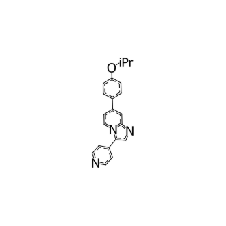 CC(C)Oc1ccc(-c2ccn3c(-c4ccncc4)cnc3c2)cc1